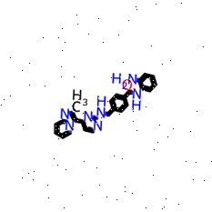 Cc1nc2ccccn2c1-c1ccnc(NCc2ccc(C(=O)Nc3ccccc3N)cc2)n1